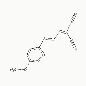 COc1ccc(C=CC=C(C#N)C#N)cc1